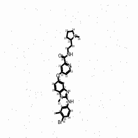 Cc1cc(Nc2nc3cc(Oc4ccnc(C(=O)NCCC5CCCN5C)c4)ccc3n2C)ccc1Br